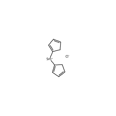 C1=CC[C]([Sm+][C]2=CC=CC2)=C1.[Cl-]